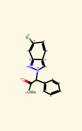 COC(=O)C(c1ccccc1)n1cc2ccc(Br)cc2n1